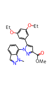 CCOc1cc(OCC)cc(-c2cc(C(=O)OC)nn2-c2cccc3cnn(C)c23)c1